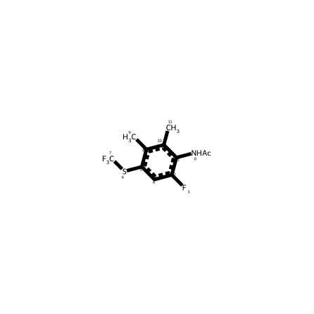 CC(=O)Nc1c(F)cc(SC(F)(F)F)c(C)c1C